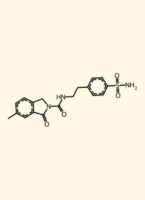 Cc1ccc2c(c1)C(=O)N(C(=O)NCCc1ccc(S(N)(=O)=O)cc1)C2